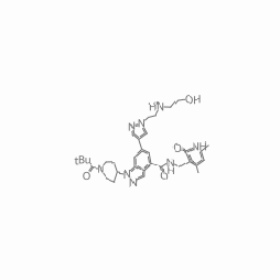 Cc1cc(C)c(CNC(=O)c2cc(-c3cnn(CCNCCO)c3)cc3c2cnn3C2CCN(C(=O)C(C)(C)C)CC2)c(=O)[nH]1